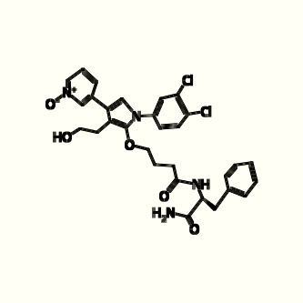 NC(=O)[C@H](Cc1ccccc1)NC(=O)CCCOc1c(CCO)c(-c2ccc[n+]([O-])c2)cn1-c1ccc(Cl)c(Cl)c1